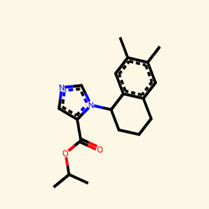 Cc1cc2c(cc1C)C(n1cncc1C(=O)OC(C)C)CCC2